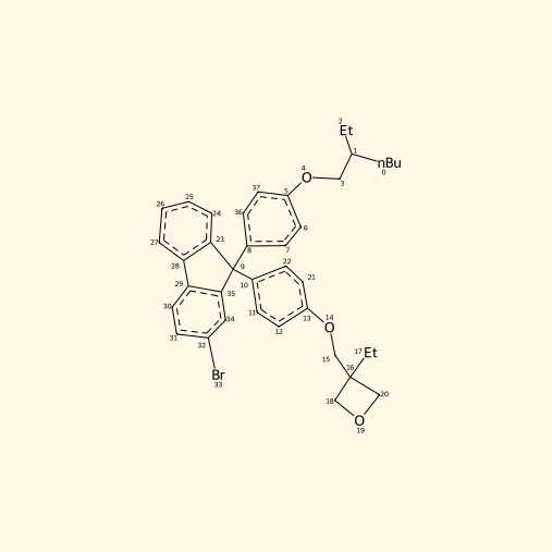 CCCCC(CC)COc1ccc(C2(c3ccc(OCC4(CC)COC4)cc3)c3ccccc3-c3ccc(Br)cc32)cc1